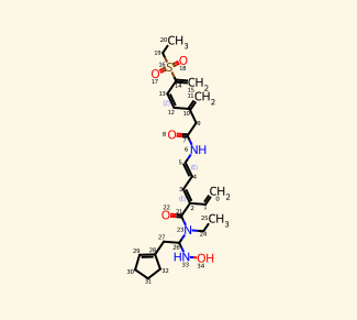 C=C/C(=C\C=C\NC(=O)CC(=C)/C=C\C(=C)S(=O)(=O)CC)C(=O)N(CC)C(CC1=CCCC1)NO